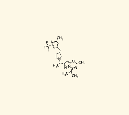 CCOc1cc(C(C)N2CCC(Cc3cc(C)nc(C(F)(F)F)c3)C2)nn1[S+]([O-])N(C)C